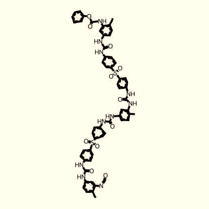 Cc1ccc(NC(=O)Nc2ccc(S(=O)(=O)c3ccc(NC(=O)Nc4ccc(C)c(NC(=O)Nc5ccc(S(=O)(=O)c6ccc(NC(=O)Nc7ccc(C)c(NC(=O)Oc8ccccc8)c7)cc6)cc5)c4)cc3)cc2)cc1N=C=O